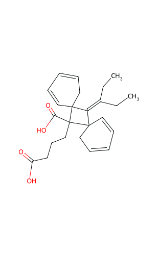 CCCCC1(C(CCCC(=O)O)(C(=O)O)C2(CCCC)C=CC=CC2)C=CC=CC1